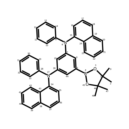 CC1(C)OB(c2cc(N(c3ccccc3)c3cccc4ccccc34)cc(N(c3ccccc3)c3cccc4ccccc34)c2)OC1(C)C